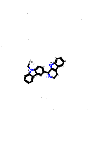 CCn1c2ccccc2c2cc(C3NCCc4c3[nH]c3ccccc43)ccc21